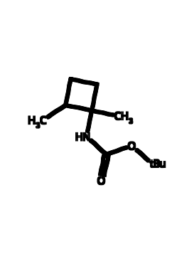 CC1CCC1(C)NC(=O)OC(C)(C)C